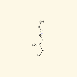 OC/C=C/CC(O)CO